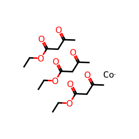 CCOC(=O)CC(C)=O.CCOC(=O)CC(C)=O.CCOC(=O)CC(C)=O.[Co]